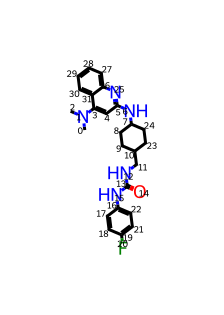 CN(C)c1cc(NC2CCC(CNC(=O)Nc3ccc(F)cc3)CC2)nc2ccccc12